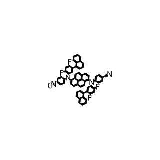 [C-]#[N+]c1ccc(N(c2cc(-c3cccc4ccccc34)c(F)cc2F)c2ccc3ccc4c(N(c5ccc(C#N)cc5)c5cc(-c6cccc7ccccc67)c(F)cc5F)ccc5ccc2c3c54)cc1